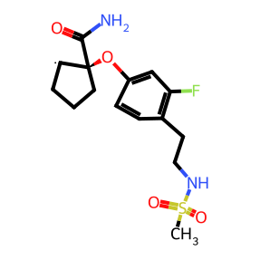 CS(=O)(=O)NCCc1ccc(O[C@]2(C(N)=O)[CH]CCC2)cc1F